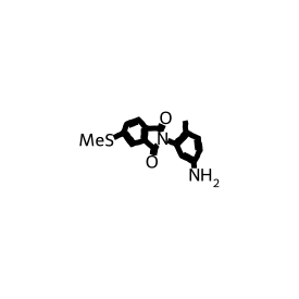 CSc1ccc2c(c1)C(=O)N(c1cc(N)ccc1C)C2=O